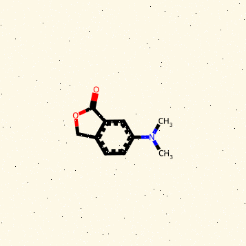 CN(C)c1ccc2c(c1)C(=O)OC2